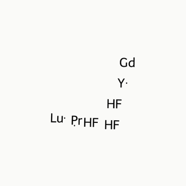 F.F.F.[Gd].[Lu].[Pr].[Y]